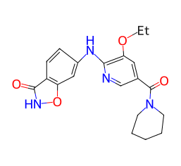 CCOc1cc(C(=O)N2CCCCC2)cnc1Nc1ccc2c(=O)[nH]oc2c1